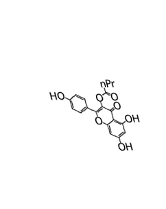 CCCC(=O)Oc1c(-c2ccc(O)cc2)oc2cc(O)cc(O)c2c1=O